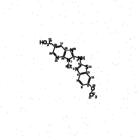 CCn1c(Nc2nc3ccc(OC(F)(F)F)cc3s2)nc2cc(C(=O)O)cnc21